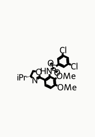 COc1ccc(C2=N[C@H](C(C)C)CO2)c(NS(=O)(=O)c2cc(Cl)cc(Cl)c2)c1OC